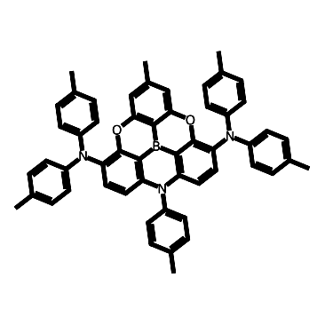 Cc1ccc(N(c2ccc(C)cc2)c2ccc3c4c2Oc2cc(C)cc5c2B4c2c(ccc(N(c4ccc(C)cc4)c4ccc(C)cc4)c2O5)N3c2ccc(C)cc2)cc1